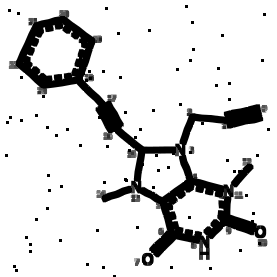 C#CCN1c2c(c(=O)[nH]c(=O)n2C)N(C)C1C#Cc1ccccc1